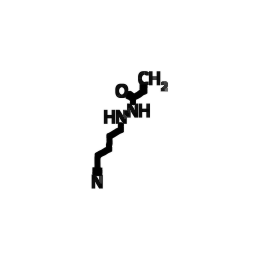 C=CC(=O)NNCCCCC#N